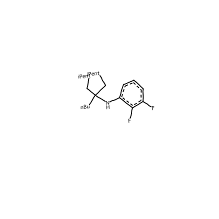 CCCCC(CC(C)CCC)(CC(C)CCC)Nc1cccc(F)c1F